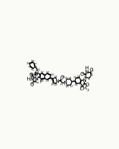 Cn1c(=O)n(C2CCC(=O)NC2=O)c2ccc(C3CCN(CC(=O)N4CC=C(c5ccc6cc(OCc7ccccc7)c(N7CC(=O)NS7(=O)=O)c(F)c6c5)C4)CC3)cc21